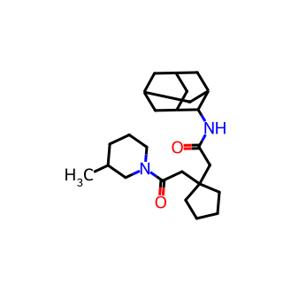 CC1CCCN(C(=O)CC2(CC(=O)NC3C4CC5CC(C4)CC3C5)CCCC2)C1